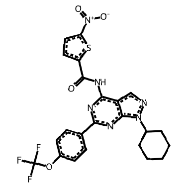 O=C(Nc1nc(-c2ccc(OC(F)(F)F)cc2)nc2c1cnn2C1CCCCC1)c1ccc([N+](=O)[O-])s1